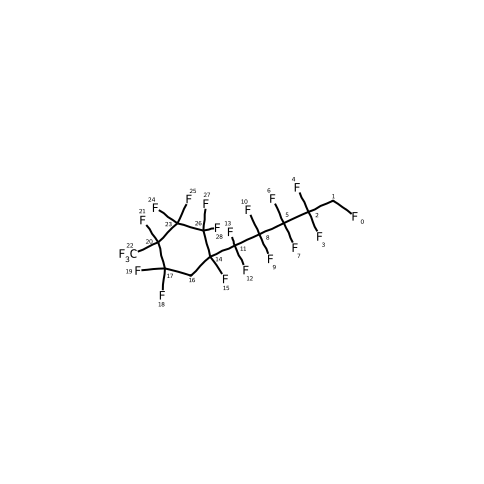 FCC(F)(F)C(F)(F)C(F)(F)C(F)(F)C1(F)CC(F)(F)C(F)(C(F)(F)F)C(F)(F)C1(F)F